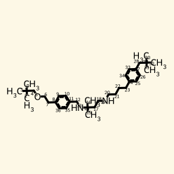 CC(C)(C)COCCc1ccc(CNC(C)(C)CCNCCCCc2ccc(CC(C)(C)C)cc2)cc1